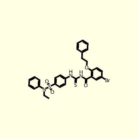 CCN(c1ccccc1)S(=O)(=O)c1ccc(NC(=S)NC(=O)c2cc(Br)ccc2OCCc2ccccc2)cc1